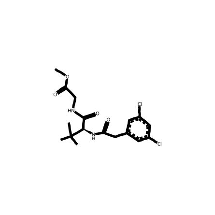 COC(=O)CNC(=O)[C@@H](NC(=O)Cc1cc(Cl)cc(Cl)c1)C(C)(C)C